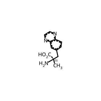 C[C@](N)(Cc1ccc2nccnc2c1)C(=O)O